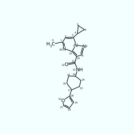 Cc1cc(C2CC2)n2ncc(C(=O)NC3CCC(c4ccco4)CC3)c2n1